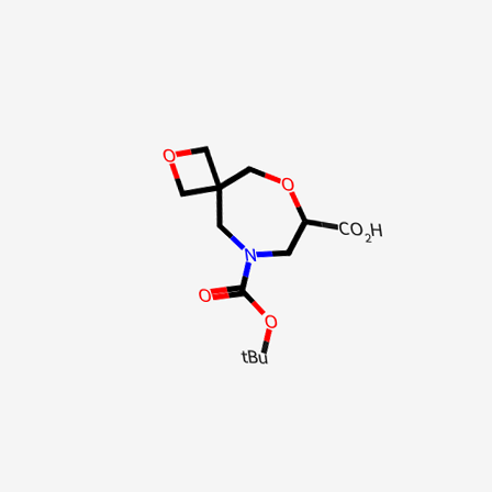 CC(C)(C)OC(=O)N1CC(C(=O)O)OCC2(COC2)C1